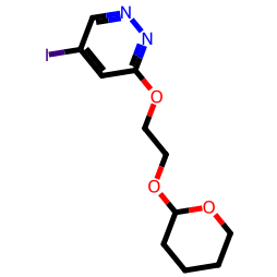 Ic1cnnc(OCCOC2CCCCO2)c1